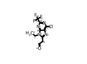 CCn1c(CC=O)nc2c(Cl)nc(C(F)(F)F)nc21